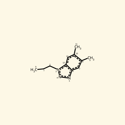 CCCn1nnc2cc(C)c(C)cc21